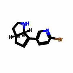 Brc1ccc(C2=CC[C@@H]3CCN[C@H]23)cn1